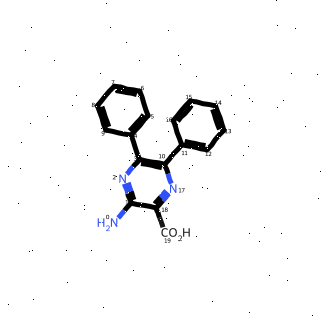 Nc1nc(-c2ccccc2)c(-c2ccccc2)nc1C(=O)O